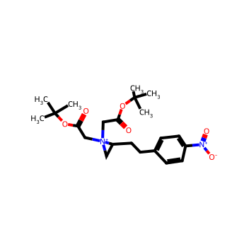 CC(C)(C)OC(=O)C[N+]1(CC(=O)OC(C)(C)C)CC1CCc1ccc([N+](=O)[O-])cc1